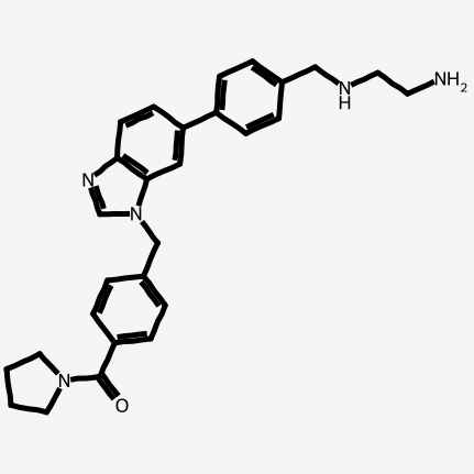 NCCNCc1ccc(-c2ccc3ncn(Cc4ccc(C(=O)N5CCCC5)cc4)c3c2)cc1